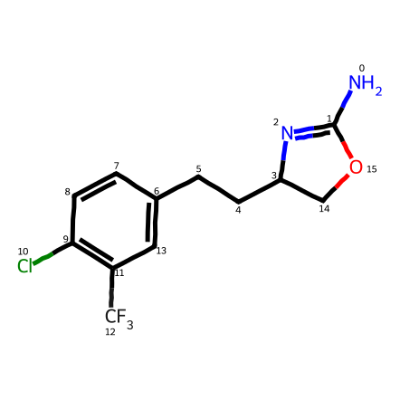 NC1=NC(CCc2ccc(Cl)c(C(F)(F)F)c2)CO1